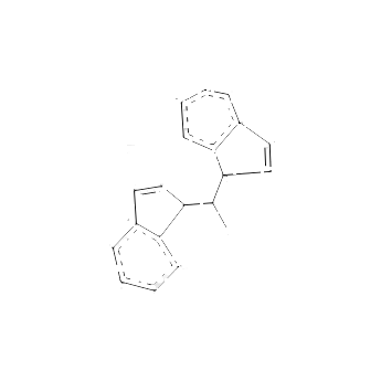 CC(C1C=Cc2ccccc21)C1C=Cc2ccccc21.[Li]